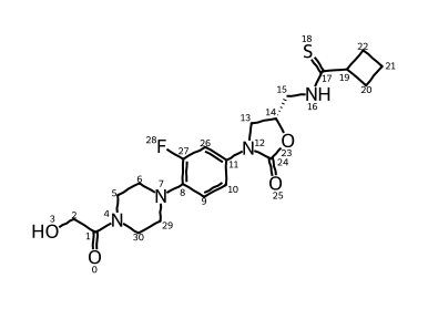 O=C(CO)N1CCN(c2ccc(N3C[C@H](CNC(=S)C4CCC4)OC3=O)cc2F)CC1